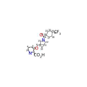 O=C(O)c1ncccc1OCC12CC1CN(C(=O)C1CCC(C(F)(F)F)CC1)C2